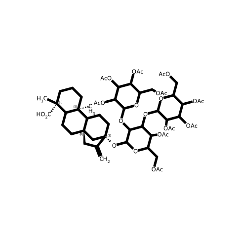 C=C1C[C@@]23CCC4[C@@](C)(CCC[C@@]4(C)C(=O)O)C2CC[C@]1(OC1OC(COC(C)=O)C(OC(C)=O)C(OC2OC(COC(C)=O)C(OC(C)=O)C(OC(C)=O)C2OC(C)=O)C1OC1OC(COC(C)=O)C(OC(C)=O)C(OC(C)=O)C1OC(C)=O)C3